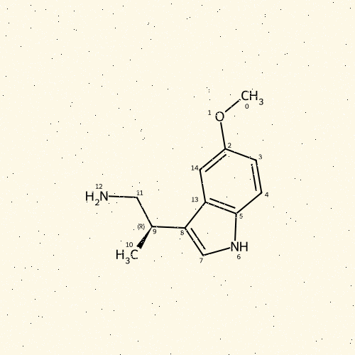 COc1ccc2[nH]cc([C@@H](C)CN)c2c1